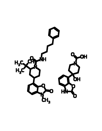 Cn1c(=O)oc2c(C3CCN(C(=O)NCCCCc4ccccc4)C(C(C)(C)C)C3)cccc21.O=C(O)N1CCC(O)(c2cccc3[nH]c(=O)oc23)CC1